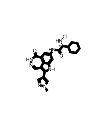 Cn1cc(-c2[nH]c3cc(NC(=O)[C@H](NCl)C4CCCCC4)cc4c3c2C=NNC4=O)cn1